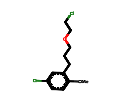 COc1ccc(Cl)cc1CCCOCCCl